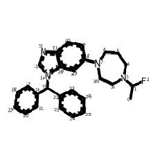 CC(F)N1CCCN(c2ccc3ncn(C(c4ccccc4)c4ccccc4)c3c2)CC1